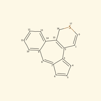 C1=Cc2c3cccc-3cc3ccccc3c2CS1